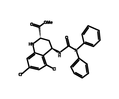 COC(=O)[C@@H]1C[C@@H](NC(=O)N(c2ccccc2)c2ccccc2)c2c(Cl)cc(Cl)cc2N1